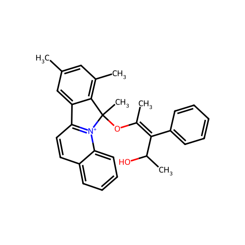 C/C(OC1(C)c2c(C)cc(C)cc2-c2ccc3ccccc3[n+]21)=C(\c1ccccc1)C(C)O